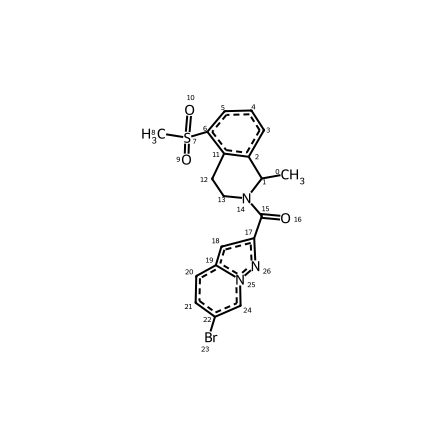 CC1c2cccc(S(C)(=O)=O)c2CCN1C(=O)c1cc2ccc(Br)cn2n1